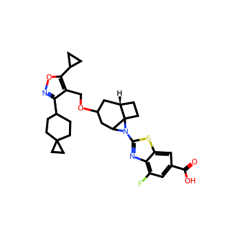 O=C(O)c1cc(F)c2nc(N3C4CC(OCc5c(C6CCC7(CC6)CC7)noc5C5CC5)C[C@@H]5CCC453)sc2c1